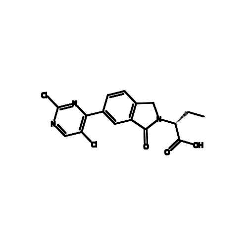 CC[C@H](C(=O)O)N1Cc2ccc(-c3nc(Cl)ncc3Cl)cc2C1=O